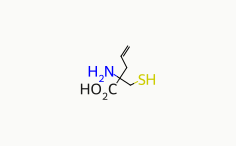 C=CCC(N)(CS)C(=O)O